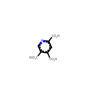 CCOC(=O)c1cnc(C(=O)O)cc1C(=O)O